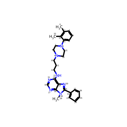 Cc1cccc(N2CCN(CCCNc3ncnc4c3nc(-c3ccccc3)n4C)CC2)c1C